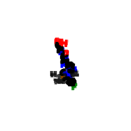 CCc1nc2ccc(-c3cnc(CC(=O)N4CC(CO)C4)cn3)cn2c1N(C)c1nc(-c2ccc(F)cc2)c(C#N)s1